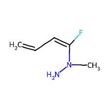 C=C/C=C(/F)N(C)N